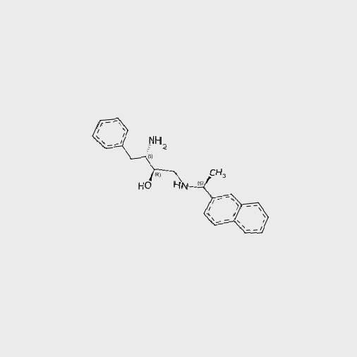 C[C@H](NC[C@@H](O)[C@@H](N)Cc1ccccc1)c1ccc2ccccc2c1